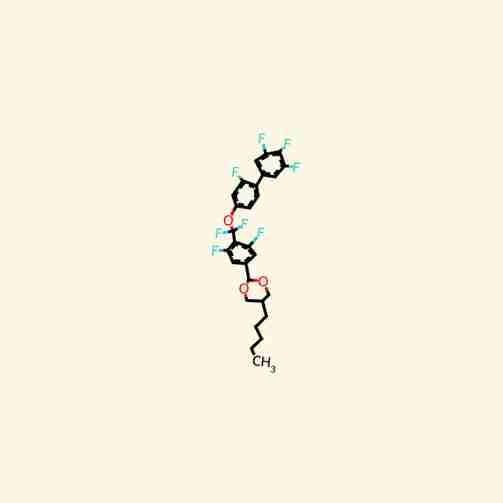 CCCCCC1COC(c2cc(F)c(C(F)(F)Oc3ccc(-c4cc(F)c(F)c(F)c4)c(F)c3)c(F)c2)OC1